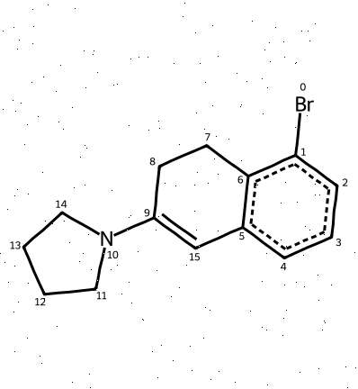 Brc1cccc2c1CCC(N1CCCC1)=C2